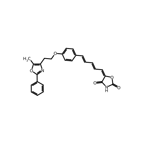 Cc1oc(-c2ccccc2)nc1CCOc1ccc(C=CC=CC=C2OC(=O)NC2=O)cc1